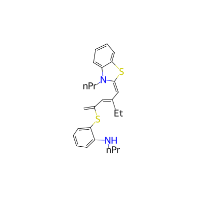 C=C(C=C(C=C1Sc2ccccc2N1CCC)CC)Sc1ccccc1NCCC